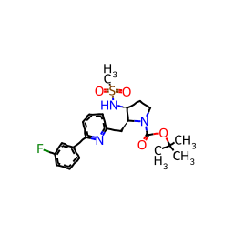 CC(C)(C)OC(=O)N1CC[C@H](NS(C)(=O)=O)[C@@H]1Cc1cccc(-c2cccc(F)c2)n1